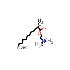 C=C(CCCCCCCCCCCCCCCCCCC)C(=O)OCCN(C)C